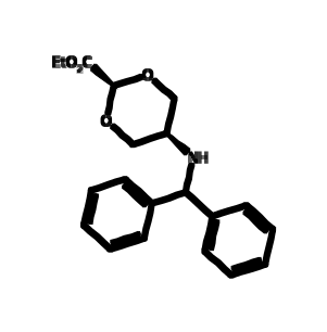 CCOC(=O)[C@H]1OC[C@@H](NC(c2ccccc2)c2ccccc2)CO1